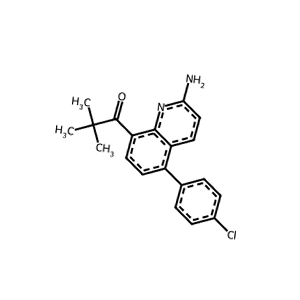 CC(C)(C)C(=O)c1ccc(-c2ccc(Cl)cc2)c2ccc(N)nc12